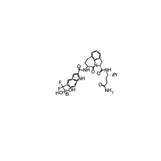 CC(C)[C@H](CCC(N)=O)NC(=O)[C@@H]1Cc2cccc3c2N1C(=O)[C@@H](NC(=O)c1cc2cc(C(F)(F)P(=O)(O)O)ccc2[nH]1)CC3